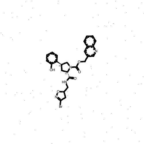 O=C(NCC1CC(Br)=NO1)[C@@H]1C[C@@H](c2ccccc2O)CN1C(=O)OCc1cnc2ccccc2c1